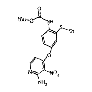 CCSc1cc(Oc2ccnc(N)c2[N+](=O)[O-])ccc1NC(=O)OC(C)(C)C